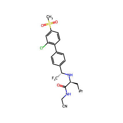 CC(C)C[C@H](N[C@@H](c1ccc(-c2ccc(S(C)(=O)=O)cc2Cl)cc1)C(F)(F)F)C(=O)NCC#N